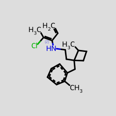 C=C/C(NCCC1(Cc2ccccc2C)CCC1C)=C(\C)Cl